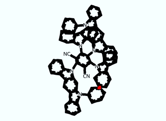 N#Cc1c(-n2c3ccccc3c3cc4c5ccccc5n(-c5ccccc5)c4cc32)c(C#N)c(-n2c3ccccc3c3ccccc32)c(-n2c3ccccc3c3cc4c5ccccc5n(-c5ccccc5)c4cc32)c1-n1c2ccccc2c2ccccc21